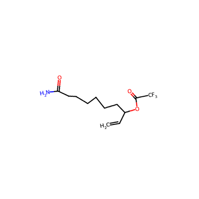 C=CC(CCCCCCC(N)=O)OC(=O)C(F)(F)F